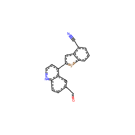 N#Cc1cccc2sc(-c3ccnc4ccc(C=O)cc34)cc12